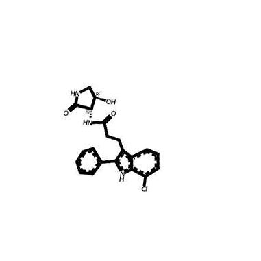 O=C(CCc1c(-c2ccccc2)[nH]c2c(Cl)cccc12)N[C@@H]1C(=O)NC[C@H]1O